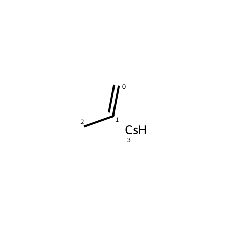 C=CC.[CsH]